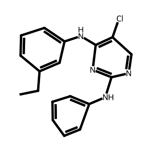 CCc1cccc(Nc2nc(Nc3ccccc3)ncc2Cl)c1